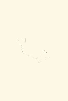 OCC1=NC=C1